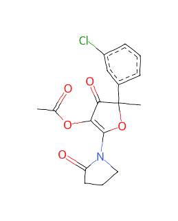 CC(=O)OC1=C(N2CCCC2=O)OC(C)(c2cccc(Cl)c2)C1=O